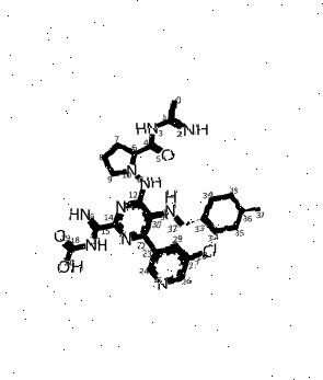 CC(=N)NC(=O)C1CCCN1Nc1nc(C(=N)NC(=O)O)nc(-c2cncc(Cl)c2)c1NC[C@H]1CC[C@H](C)CC1